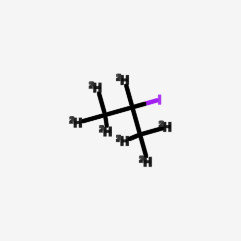 [2H]C([2H])([2H])C([2H])(I)C([2H])([2H])[2H]